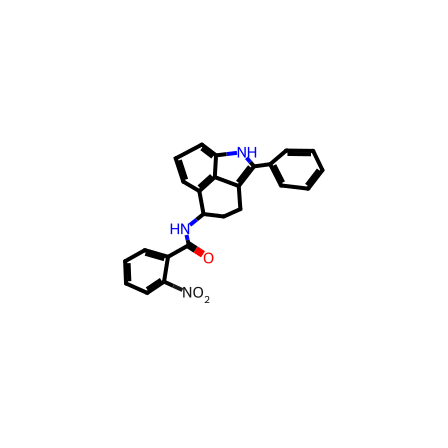 O=C(NC1CCc2c(-c3ccccc3)[nH]c3cccc1c23)c1ccccc1[N+](=O)[O-]